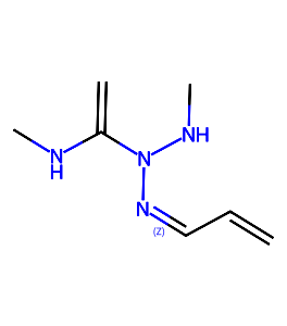 C=C/C=N\N(NC)C(=C)NC